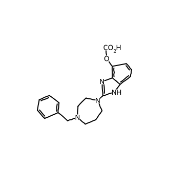 O=C(O)Oc1cccc2[nH]c(N3CCCN(Cc4ccccc4)CC3)nc12